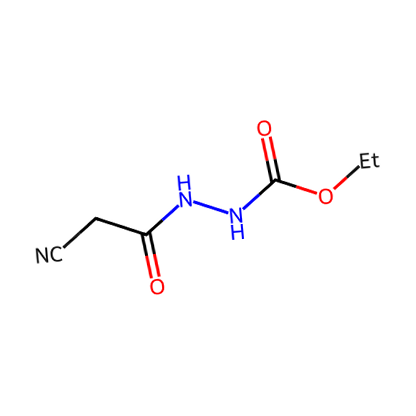 CCOC(=O)NNC(=O)CC#N